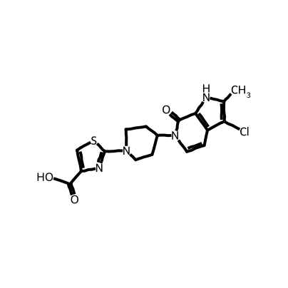 Cc1[nH]c2c(=O)n(C3CCN(c4nc(C(=O)O)cs4)CC3)ccc2c1Cl